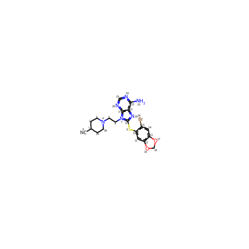 N#CC1CCN(CCn2c(Sc3cc4c(cc3Br)OCO4)nc3c(N)ncnc32)CC1